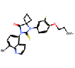 COCCOc1ccc(N2C(=S)N(c3ccc(C#N)c4ncccc34)C(=O)C23CCC3)cc1F